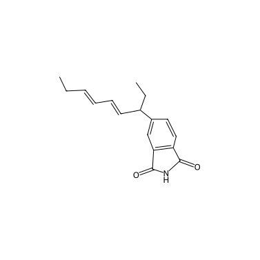 CC/C=C/C=C/C(CC)c1ccc2c(c1)C(=O)NC2=O